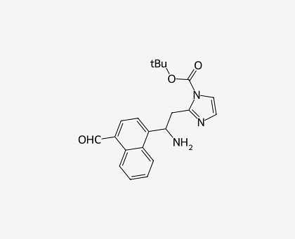 CC(C)(C)OC(=O)n1ccnc1CC(N)c1ccc(C=O)c2ccccc12